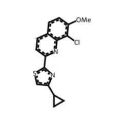 COc1ccc2[c]cc(-c3nc(C4CC4)cs3)nc2c1Cl